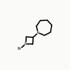 BrN1CC(N2CCCCCC2)C1